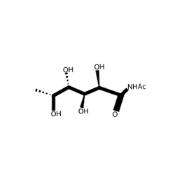 CC(=O)NC(=O)[C@H](O)[C@@H](O)[C@@H](O)[C@@H](C)O